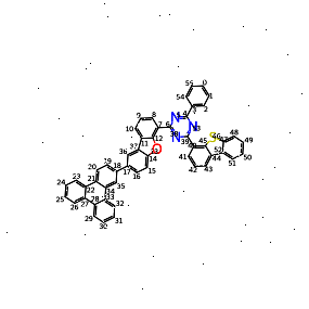 c1ccc(-c2nc(-c3cccc4c3oc3ccc(-c5ccc6c7ccccc7c7ccccc7c6c5)cc34)nc(-c3cccc4c3sc3ccccc34)n2)cc1